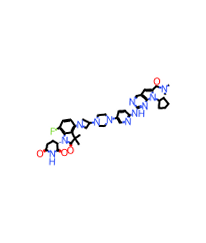 CN(C)C(=O)c1cc2cnc(Nc3ccc(N4CCN(C5CN(c6ccc(F)c7c6C(C)(C)C(=O)N7[C@H]6CCC(=O)NC6=O)C5)CC4)cn3)nc2n1C1CCCC1